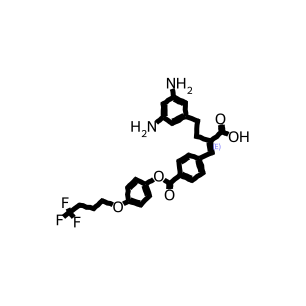 Nc1cc(N)cc(CC/C(=C\c2ccc(C(=O)Oc3ccc(OCCCC(F)(F)F)cc3)cc2)C(=O)O)c1